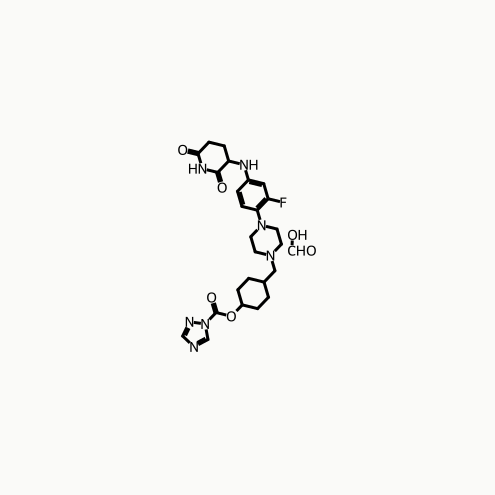 O=C1CCC(Nc2ccc(N3CCN(CC4CCC(OC(=O)n5cncn5)CC4)CC3)c(F)c2)C(=O)N1.O=CO